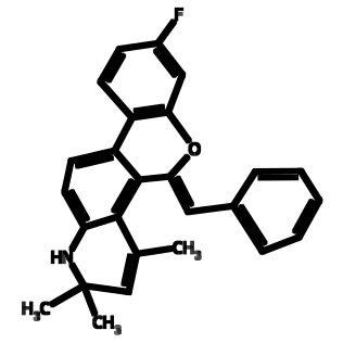 CC1=CC(C)(C)Nc2ccc3c(c21)C(=Cc1ccccc1)Oc1cc(F)ccc1-3